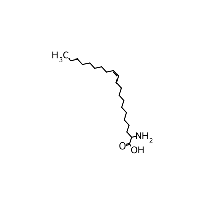 CCCCCCCC/C=C\CCCCCCCCCC(N)C(=O)O